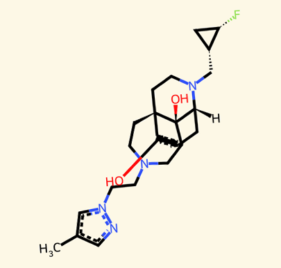 Cc1cnn(CCN2CC[C@]34CCN(C[C@@H]5C[C@@H]5F)[C@H](Cc5ccc(O)cc53)[C@]4(O)CC2)c1